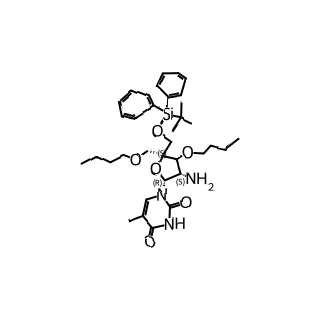 CCCCOC[C@@]1(CO[Si](c2ccccc2)(c2ccccc2)C(C)(C)C)O[C@@H](n2cc(C)c(=O)[nH]c2=O)[C@@H](N)C1OCCCC